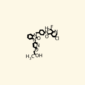 CC(O)COc1ccc(-n2c(=O)n(CC3CCC(NC(=O)c4cc(Cl)cnc4C(F)F)CC3)c3ccccc32)cn1